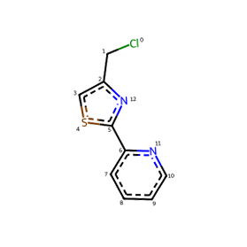 ClCc1csc(-c2ccccn2)n1